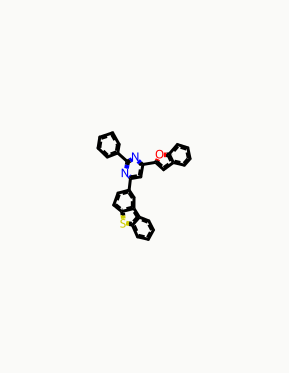 c1ccc(-c2nc(-c3ccc4sc5ccccc5c4c3)cc(-c3cc4ccccc4o3)n2)cc1